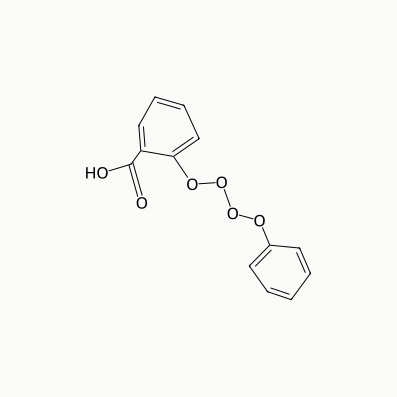 O=C(O)c1ccccc1OOOOc1ccccc1